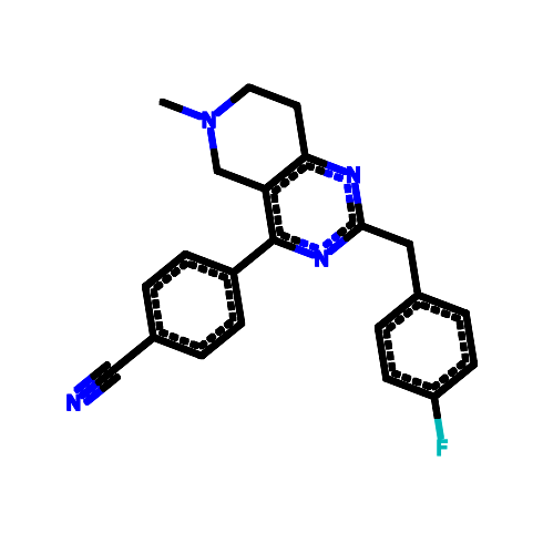 CN1CCc2nc(Cc3ccc(F)cc3)nc(-c3ccc(C#N)cc3)c2C1